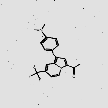 CC(=O)c1cc(-c2ccc(N(C)C)cc2)c2cc(C(F)(F)F)ccn12